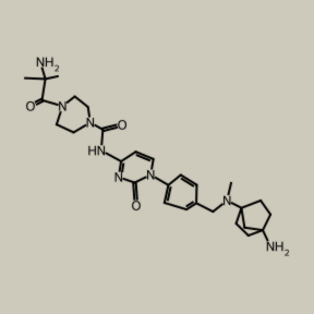 CN(Cc1ccc(-n2ccc(NC(=O)N3CCN(C(=O)C(C)(C)N)CC3)nc2=O)cc1)C12CCC(N)(CC1)C2